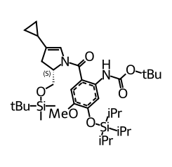 COc1cc(C(=O)N2C=C(C3CC3)C[C@H]2CO[Si](C)(C)C(C)(C)C)c(NC(=O)OC(C)(C)C)cc1O[Si](C(C)C)(C(C)C)C(C)C